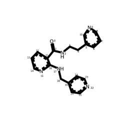 O=C(NCCc1cccnc1)c1cccnc1NCc1ccncc1